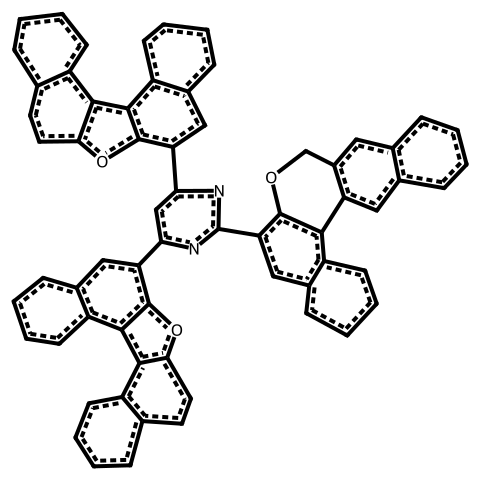 c1ccc2cc3c(cc2c1)COc1c(-c2nc(-c4cc5ccccc5c5c4oc4ccc6ccccc6c45)cc(-c4cc5ccccc5c5c4oc4ccc6ccccc6c45)n2)cc2ccccc2c1-3